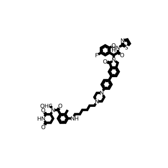 Cc1c(NCCCCCCN2CCN(c3ccc(-c4ccc5c(c4)C(=O)N(C(C(=O)Nc4nccs4)c4cc(F)ccc4O)C5)cc3)CC2)cccc1C(=O)N(C=O)C1CCC(=O)NC1=O